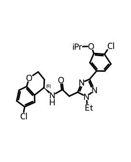 CCn1nc(-c2ccc(Cl)c(OC(C)C)c2)nc1CC(=O)N[C@@H]1CCOc2ccc(Cl)cc21